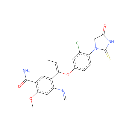 C=Nc1cc(OC)c(C(N)=O)cc1/C(=C\C)Oc1ccc(N2CC(=O)NC2=S)c(Cl)c1